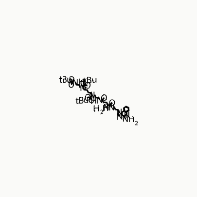 CC(C)(C)OC(=O)NCCCN(CCCCN(CCCNC(=O)CC[C@H](N)C(=O)NCCCn1cnc2c(N)nc3ccccc3c21)C(=O)OC(C)(C)C)C(=O)OC(C)(C)C